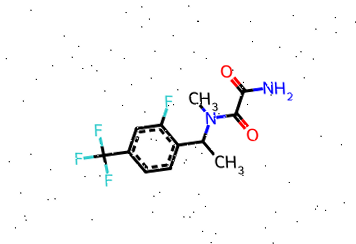 CC(c1ccc(C(F)(F)F)cc1F)N(C)C(=O)C(N)=O